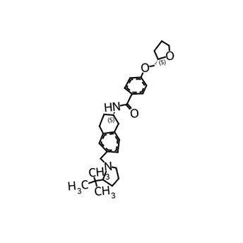 CC(C)(C)C1CCCN1Cc1ccc2c(c1)CC[C@H](NC(=O)c1ccc(OC[C@@H]3CCCO3)cc1)C2